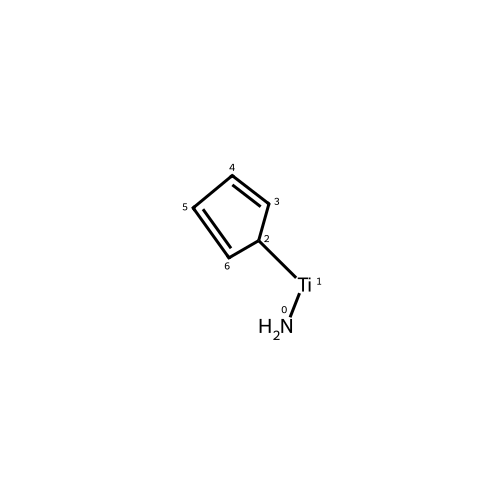 [NH2][Ti][CH]1C=CC=C1